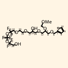 COCOC(COCc1cccs1)COCC(O)COCCOCC(F)(F)OC(F)(F)OC(F)(F)CO